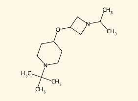 CC(C)N1CC(OC2CCN(C(C)(C)C)CC2)C1